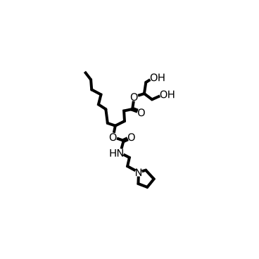 CCCCCCCC(CCC(=O)OC(CO)CO)OC(=O)NCCN1CCCC1